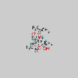 C=C(C(=O)OC1(CC)C(F)(F)C(C)(O)OC(CC)(C(F)(F)F)C1(F)F)C(F)(F)F